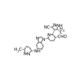 Cc1ccc(Nc2ccc3c(c2)ncn3-c2ccc(C=O)c(-c3c(C#N)n[nH]c3C)n2)nn1